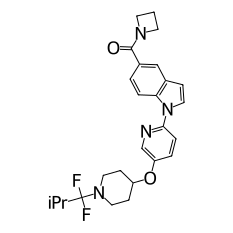 CC(C)C(F)(F)N1CCC(Oc2ccc(-n3ccc4cc(C(=O)N5CCC5)ccc43)nc2)CC1